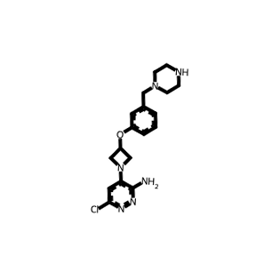 Nc1nnc(Cl)cc1N1CC(Oc2cccc(CN3CCNCC3)c2)C1